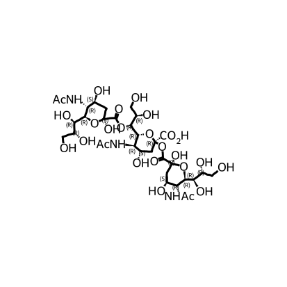 CC(=O)N[C@H]1[C@H]([C@H](OC(=O)[C@]2(O)C[C@H](O)[C@@H](NC(C)=O)[C@H]([C@H](O)[C@H](O)CO)O2)[C@H](O)CO)O[C@](OC(=O)[C@]2(O)C[C@H](O)[C@@H](NC(C)=O)[C@H]([C@H](O)[C@H](O)CO)O2)(C(=O)O)C[C@@H]1O